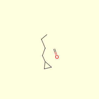 C=O.CCCCC1CC1